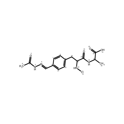 CC(=O)N/N=C/c1ccc(CC(NCl)C(=O)NC(C)C(=O)O)cc1